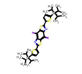 CC(C)[Si](c1ccc(-c2nc3c(I)c4sc(-c5ccc([Si](C(C)C)(C(C)C)C(C)C)s5)nc4c(I)c3s2)s1)(C(C)C)C(C)C